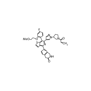 C=CC(=O)N1CCC(n2cc(-c3nc(-c4ccc5c(c4)CNC(=O)C5)c4ccsc4c3-c3ccc(F)cc3OCCOC)cn2)C1